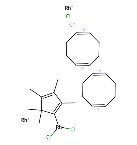 C1=C\CC/C=C\CC/1.C1=C\CC/C=C\CC/1.CC1=C(C)C(C)(C)[C]([Rh]([Cl])[Cl])=C1C.[Cl-].[Cl-].[Rh+].[Rh+]